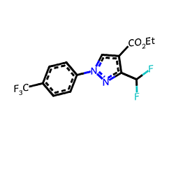 CCOC(=O)c1cn(-c2ccc(C(F)(F)F)cc2)nc1C(F)F